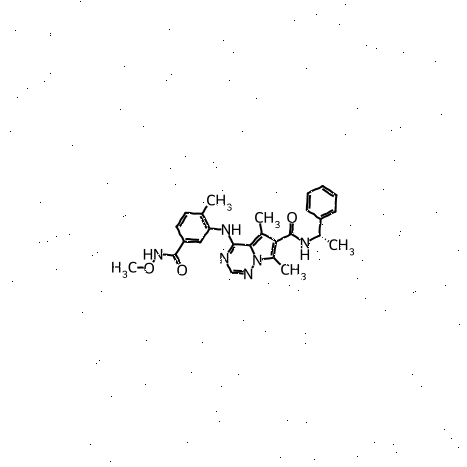 CONC(=O)c1ccc(C)c(Nc2ncnn3c(C)c(C(=O)N[C@@H](C)c4ccccc4)c(C)c23)c1